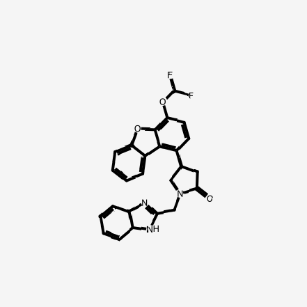 O=C1CC(c2ccc(OC(F)F)c3oc4ccccc4c23)CN1CC1=NC2C=CC=CC2N1